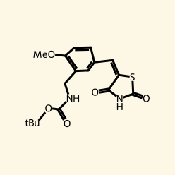 COc1ccc(C=C2SC(=O)NC2=O)cc1CNC(=O)OC(C)(C)C